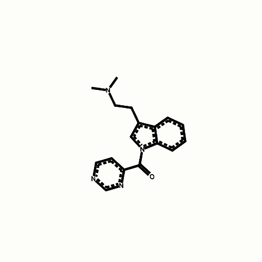 CN(C)CCc1cn(C(=O)c2ccncn2)c2ccccc12